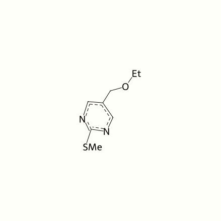 CCOCc1cnc(SC)nc1